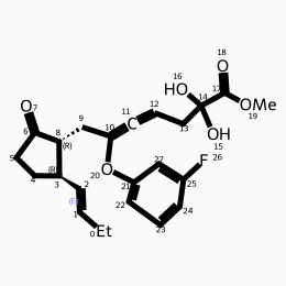 CC/C=C/[C@H]1CCC(=O)[C@@H]1CC(=C=CCC(O)(O)C(=O)OC)Oc1cccc(F)c1